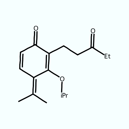 CCC(=O)CCC1=C(OC(C)C)C(=C(C)C)C=CC1=O